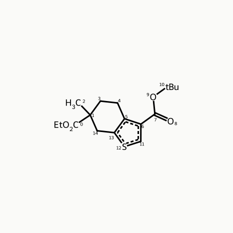 CCOC(=O)C1(C)CCc2c(C(=O)OC(C)(C)C)csc2C1